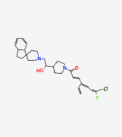 C=CC(/C=C/C(=O)N1CCC(C(O)CN2CCC3(CCC4C=CC=CC43)CC2)CC1)=C\C=C(\F)CCl